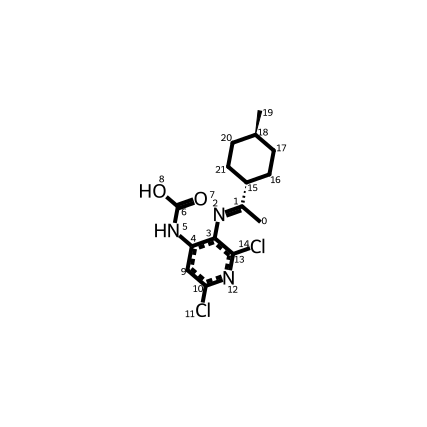 C/C(=N\c1c(NC(=O)O)cc(Cl)nc1Cl)[C@H]1CC[C@H](C)CC1